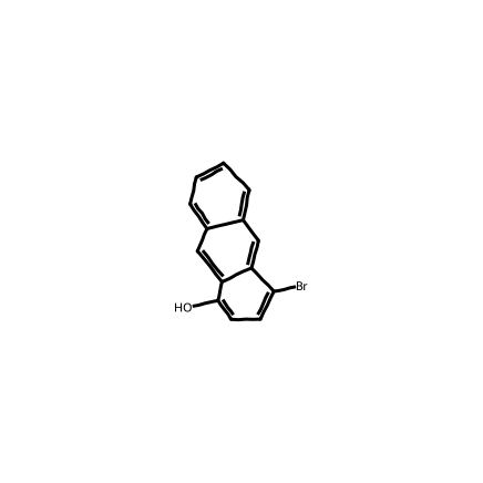 Oc1ccc(Br)c2cc3ccccc3cc12